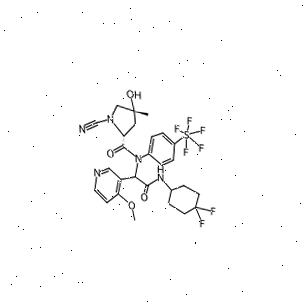 COc1ccncc1C(C(=O)NC1CCC(F)(F)CC1)N(C(=O)[C@H]1C[C@@](C)(O)CN1C#N)c1ccc(S(F)(F)(F)(F)F)cc1